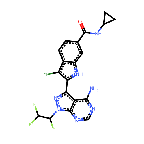 Nc1ncnc2c1c(-c1[nH]c3cc(C(=O)NC4CC4)ccc3c1Cl)nn2C(F)C(F)F